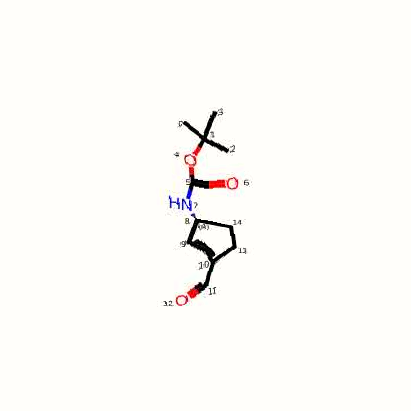 CC(C)(C)OC(=O)N[C@H]1C=C(C=O)CC1